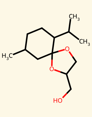 CC1CCC(C(C)C)C2(C1)OCC(CO)O2